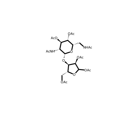 CC(=O)NC[C@@H]1O[C@H](O[C@@H]2[C@@H](COC(C)=O)OC(OC(C)=O)[C@@H]2OC(C)=O)[C@H](NC(C)=O)[C@@H](OC(C)=O)[C@@H]1OC(C)=O